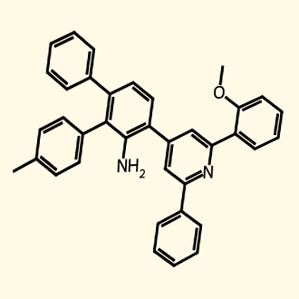 COc1ccccc1-c1cc(-c2ccc(-c3ccccc3)c(-c3ccc(C)cc3)c2N)cc(-c2ccccc2)n1